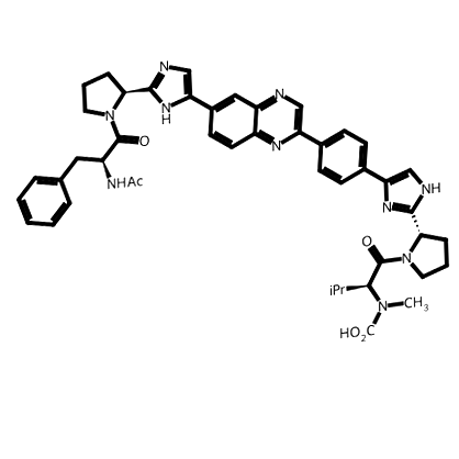 CC(=O)N[C@@H](Cc1ccccc1)C(=O)N1CCC[C@H]1c1ncc(-c2ccc3nc(-c4ccc(-c5c[nH]c([C@@H]6CCCN6C(=O)[C@H](C(C)C)N(C)C(=O)O)n5)cc4)cnc3c2)[nH]1